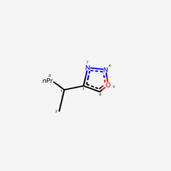 CCCC(C)c1conn1